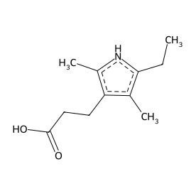 CCc1[nH]c(C)c(CCC(=O)O)c1C